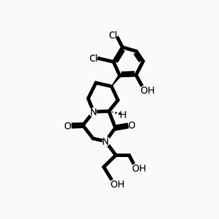 O=C1[C@@H]2C[C@H](c3c(O)ccc(Cl)c3Cl)CCN2C(=O)CN1C(CO)CO